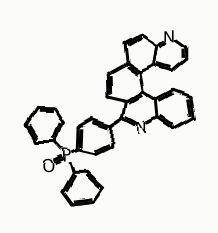 O=P(c1ccccc1)(c1ccccc1)c1ccc(-c2nc3ccccc3c3c2ccc2ccc4ncccc4c23)cc1